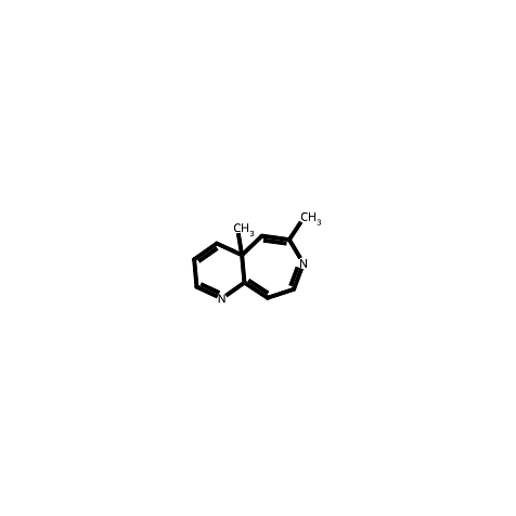 CC1=CC2(C)C=CC=NC2=CC=N1